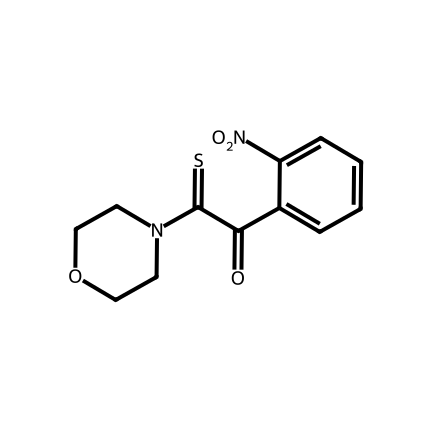 O=C(C(=S)N1CCOCC1)c1ccccc1[N+](=O)[O-]